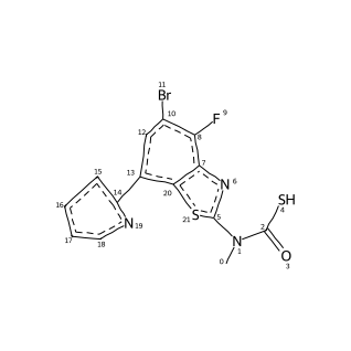 CN(C(=O)S)c1nc2c(F)c(Br)cc(-c3ccccn3)c2s1